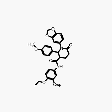 COc1ccc(C2C(C(=O)Nc3ccc(OCI)c(OF)c3)CCC(=O)N2c2ccc3c(c2)OCO3)cc1